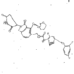 O=C1CCC(N2Cc3ccc(COC(=O)Nc4ccc(Oc5ccc(F)cc5F)cc4F)c(O[C@@H]4CCCOC4)c3C2=O)C(=O)N1